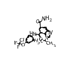 CC(C)n1cnc2cc(C(N)=O)cc(C(=O)Nc3ccc(OC(F)(F)Cl)cc3)c21